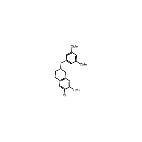 COc1cc(CN2CCc3cc(O)c(OC)cc3C2)cc(OC)c1